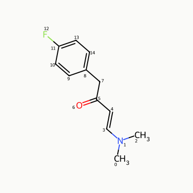 CN(C)C=CC(=O)Cc1ccc(F)cc1